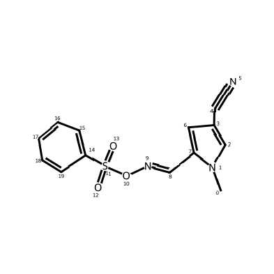 Cn1cc(C#N)cc1/C=N/OS(=O)(=O)c1ccccc1